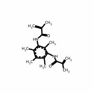 C=C(C)C(=O)Nc1c(C)c(C)c(C)c(NC(=O)C(=C)C)c1C